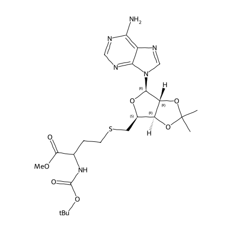 COC(=O)C(CCSC[C@H]1O[C@@H](n2cnc3c(N)ncnc32)[C@@H]2OC(C)(C)O[C@H]21)NC(=O)OC(C)(C)C